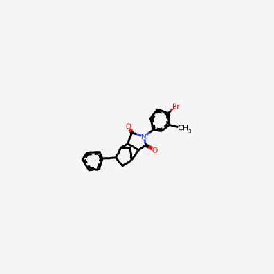 Cc1cc(N2C(=O)C3C4CC(c5ccccc5)C(C4)C3C2=O)ccc1Br